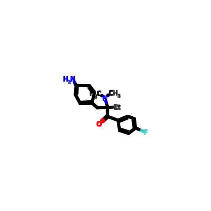 CCC(Cc1ccc(N)cc1)(C(=O)c1ccc(F)cc1)N(C)C